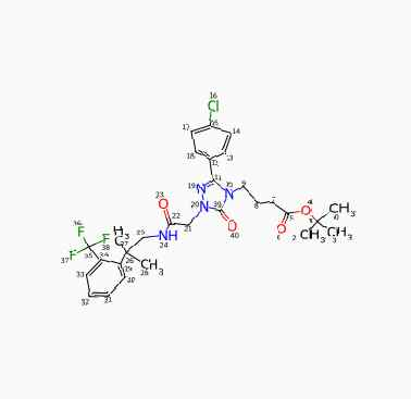 CC(C)(C)OC(=O)CCCn1c(-c2ccc(Cl)cc2)nn(CC(=O)NCC(C)(C)c2ccccc2C(F)(F)F)c1=O